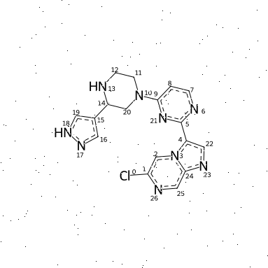 Clc1cn2c(-c3nccc(N4CCNC(c5cn[nH]c5)C4)n3)cnc2cn1